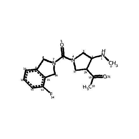 CNC1CN(C(=O)N2Cc3cccc(F)c3C2)CC1C(C)=O